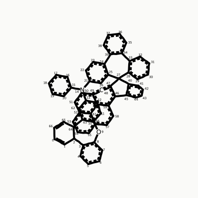 C1=CC2c3ccccc3Oc3ccc(N(c4ccccc4)c4ccc5c(c4)C4(c6ccccc6-c6ccccc6-5)c5ccccc5-c5c4cc4ccc6cccc7ccc5c4c67)cc3C2C=C1